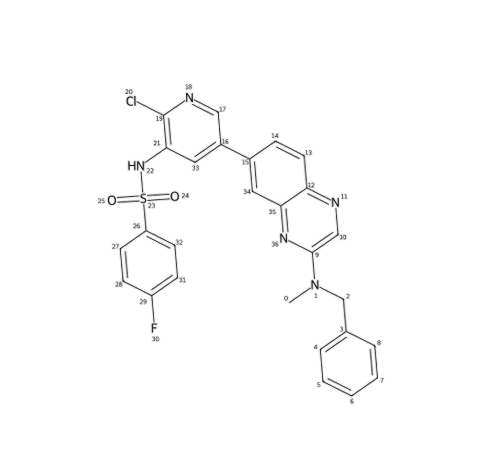 CN(Cc1ccccc1)c1cnc2ccc(-c3cnc(Cl)c(NS(=O)(=O)c4ccc(F)cc4)c3)cc2n1